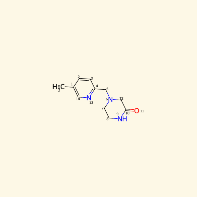 Cc1ccc(CN2CCNC(=O)C2)nc1